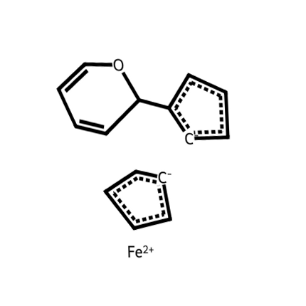 C1=COC(c2ccc[cH-]2)C=C1.[Fe+2].c1cc[cH-]c1